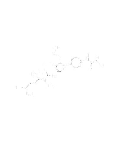 C=C(Nc1sc(-c2ccc(NC(=O)NCC)cc2)c(CN(C)C)c1C)N(C=O)/C(N)=C/C=C(\N)CC